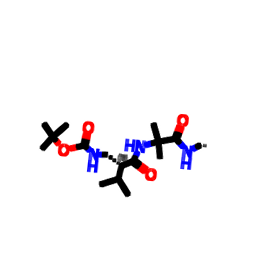 [CH2]NC(=O)C(C)(C)NC(=O)[C@@H](CNC(=O)OC(C)(C)C)C(C)C